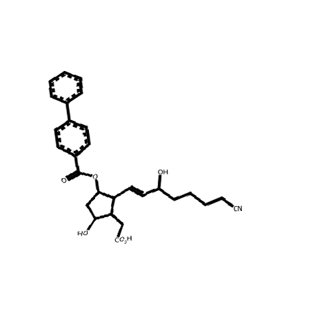 N#CCCCCC(O)C=CC1C(OC(=O)c2ccc(-c3ccccc3)cc2)CC(O)C1CC(=O)O